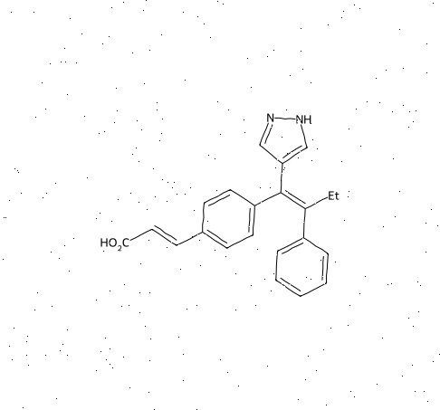 CC/C(=C(/c1ccc(/C=C/C(=O)O)cc1)c1cn[nH]c1)c1ccccc1